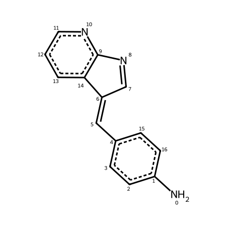 Nc1ccc(/C=C2\C=Nc3ncccc32)cc1